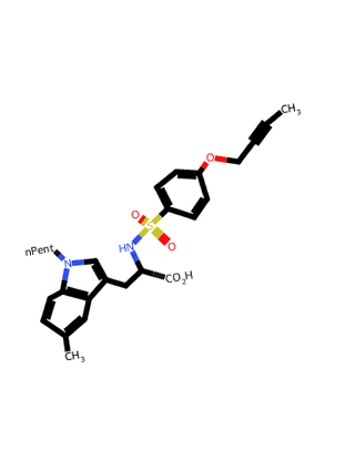 CC#CCOc1ccc(S(=O)(=O)NC(Cc2cn(CCCCC)c3ccc(C)cc23)C(=O)O)cc1